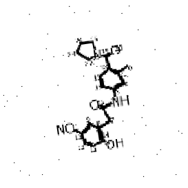 Cc1cc(NC(=O)Cc2cc(C#N)ccc2O)ccc1C(=O)N1CCCC1